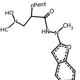 CCCCCC(CN(O)C=O)C(=O)NN(C)c1cc2ccccc2o1